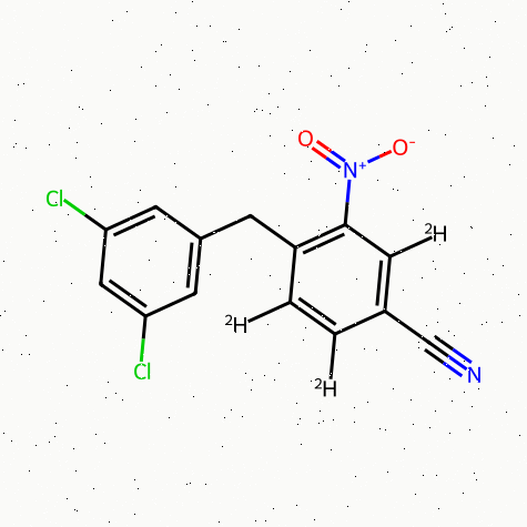 [2H]c1c([2H])c(Cc2cc(Cl)cc(Cl)c2)c([N+](=O)[O-])c([2H])c1C#N